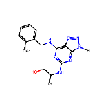 CCC(CO)Nc1nc(NCc2ccccc2OC(C)=O)c2nnn(CC)c2n1